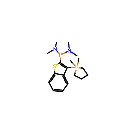 CN(C)P(c1sc2ccccc2c1P1(C)(C)CCCC1)N(C)C